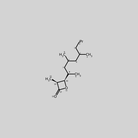 CC(C)CC(C)CC(C)CC(C)[C@H]1OC(=O)[C@H]1C